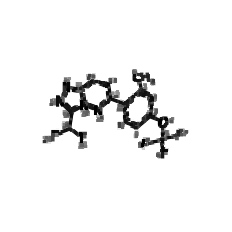 Cc1cc(OC(F)(F)F)ccc1-c1ccc2nnc(C(F)F)n2n1